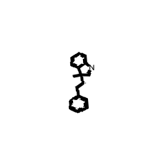 CC1([CH]Cc2ccccc2)C=Nc2ccccc21